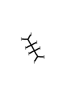 I[C](I)C(I)(I)C(I)(I)[C](I)I